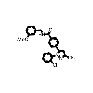 COc1cccc(CNC(=O)c2ccc(-c3cc(C(F)(F)F)nn3-c3ccccc3Cl)cc2)c1